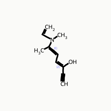 C#C/C(O)=C/C=C(\C)N(C)C=C